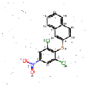 O=[N+]([O-])c1cc(Cl)c(Sc2ccc3ccccc3c2)c(Cl)c1